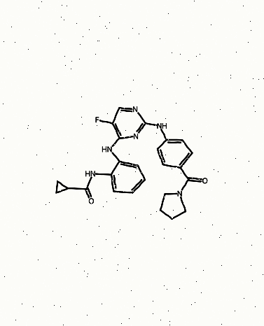 O=C(Nc1ccccc1Nc1nc(Nc2ccc(C(=O)N3CCCC3)cc2)ncc1F)C1CC1